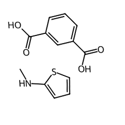 CNc1cccs1.O=C(O)c1cccc(C(=O)O)c1